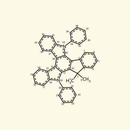 CC1(C)c2ccccc2-c2c1c1c(c3ccccc3n1-c1ccccc1)c1c3ccccc3n(-c3ccccc3)c21